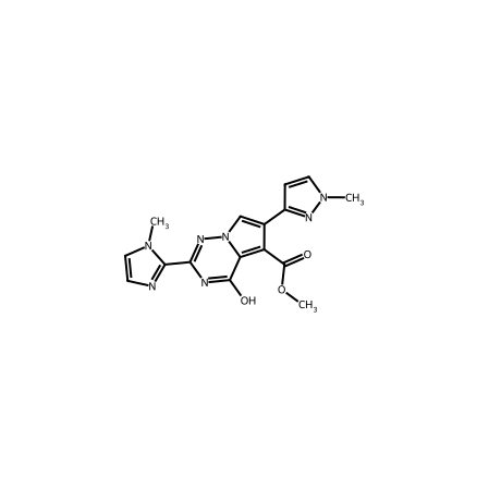 COC(=O)c1c(-c2ccn(C)n2)cn2nc(-c3nccn3C)nc(O)c12